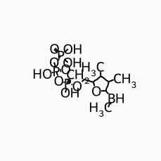 C=P(O)(OCC1OC(BC)C(C)C1C)OP(=O)(O)OP(=O)(O)O